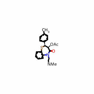 CNCCN1C(=O)[C@H](OC(C)=O)[C@H](c2ccc(C)cc2)Sc2ccccc21